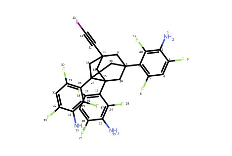 Nc1c(F)cc(F)c(C23CC4(C#CI)CC(c5c(F)cc(F)c(N)c5F)(C2)C(c2c(F)cc(F)c(N)c2F)(C4)C3)c1F